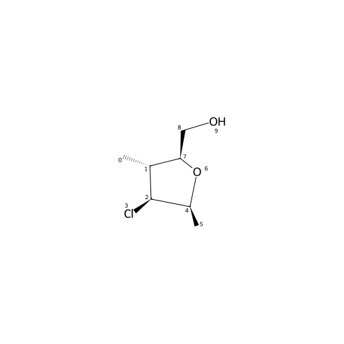 C[C@H]1[C@H](Cl)[C@H](C)O[C@@H]1CO